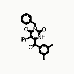 Cc1cc(C)cc(C(=O)c2[nH]c(=O)n(Cc3ccccc3)c(=O)c2C(C)C)c1